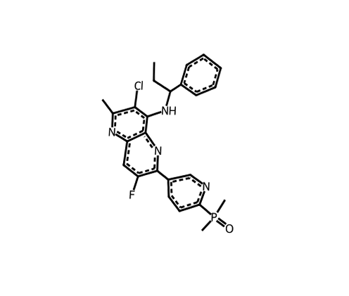 CCC(Nc1c(Cl)c(C)nc2cc(F)c(-c3ccc(P(C)(C)=O)nc3)nc12)c1ccccc1